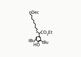 CCCCCCCCCCCCCCCCCCSC(C(=O)OCC)c1cc(C(C)(C)C)c(O)c(C(C)(C)C)c1